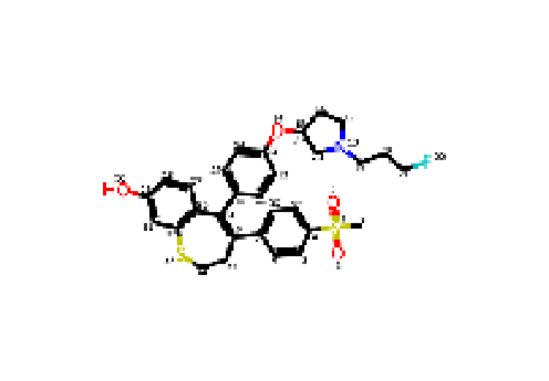 CS(=O)(=O)c1ccc(C2=C(c3ccc(O[C@H]4CCN(CCCF)C4)cc3)c3ccc(O)cc3SCC2)cc1